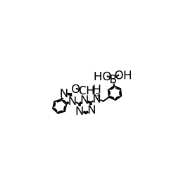 COc1nc2ccccc2n1-c1ncnc(NCc2cccc(B(O)O)c2)n1